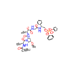 CCCCC(NC(=O)[C@@H]1C[C@@H](OC(C)(C)C)CN1C(=O)[C@@H](NC(=O)OCC(C)C)C(C)(C)C)C(=O)C(=O)NCC(=O)N[C@H](COP(=O)(Oc1ccccc1)Oc1ccccc1)c1ccccc1